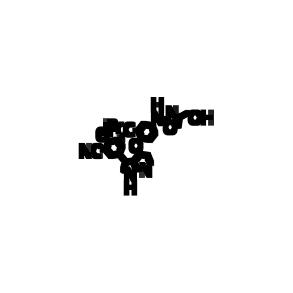 CC(C)Oc1ccc(-c2c[nH]c3nccc(Oc4ccc(NC5=NC(CO)CO5)cc4C(F)(F)F)c23)cc1C#N